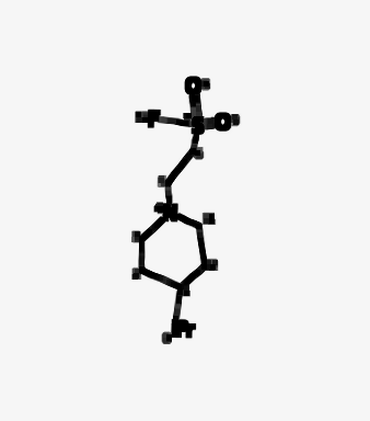 CC(C)C1CCN(CCS(=O)(=O)F)CC1